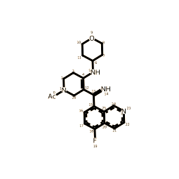 CC(=O)N1CCC(NC2CCOCC2)=C(C(=N)c2ccc(F)c3ccncc23)C1